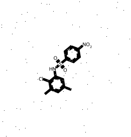 Cc1cc(C)c(Cl)c(NS(=O)(=O)c2ccc([N+](=O)[O-])cc2)c1